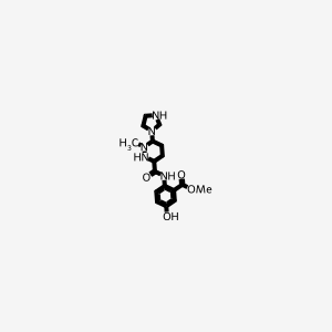 COC(=O)c1cc(O)ccc1NC(=O)C1CCC(N2CCNC2)N(C)N1